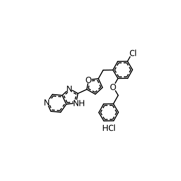 Cl.Clc1ccc(OCc2ccccc2)c(Cc2ccc(-c3nc4cnccc4[nH]3)o2)c1